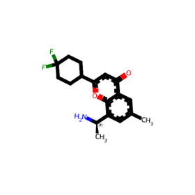 Cc1cc([C@@H](C)N)c2oc(C3CCC(F)(F)CC3)cc(=O)c2c1